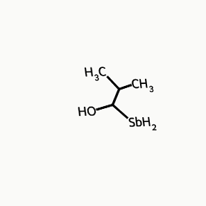 CC(C)[CH](O)[SbH2]